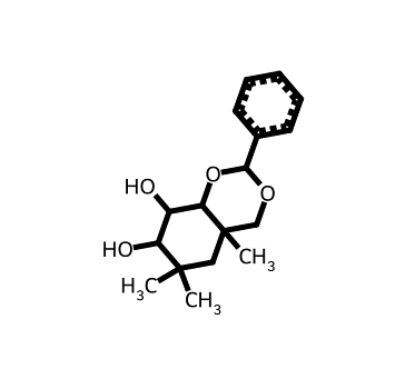 CC1(C)CC2(C)COC(c3ccccc3)OC2C(O)C1O